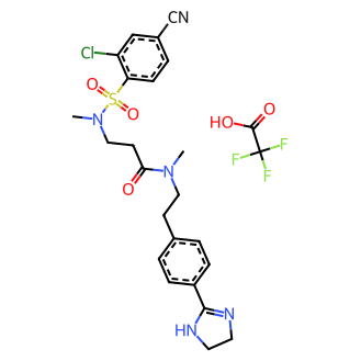 CN(CCc1ccc(C2=NCCN2)cc1)C(=O)CCN(C)S(=O)(=O)c1ccc(C#N)cc1Cl.O=C(O)C(F)(F)F